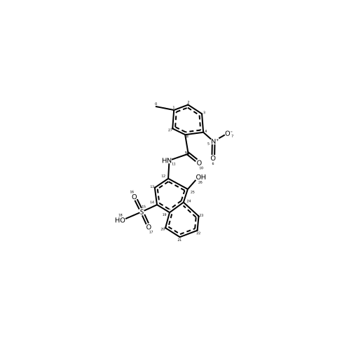 Cc1ccc([N+](=O)[O-])c(C(=O)Nc2cc(S(=O)(=O)O)c3ccccc3c2O)c1